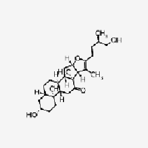 CC1=C(CC[C@@H](C)CO)O[C@H]2C[C@H]3[C@@H]4CC[C@H]5C[C@@H](O)CC[C@]5(C)[C@H]4CC(=O)[C@]3(C)[C@@H]12